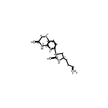 C=CCCC1CN(c2ccc3c(n2)NC(=O)CS3)C(=O)O1